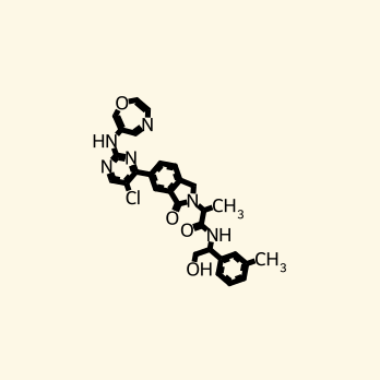 Cc1cccc(C(CO)NC(=O)C(C)N2Cc3ccc(-c4nc(NC5=COC=CN=C5)ncc4Cl)cc3C2=O)c1